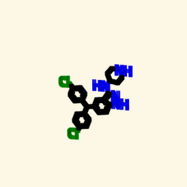 Clc1ccc(C(c2ccc(Cl)cc2)c2ccc3[nH]nc(NC4CCNCC4)c3c2)cc1